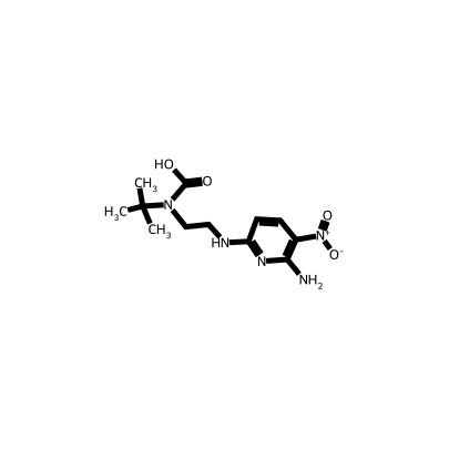 CC(C)(C)N(CCNc1ccc([N+](=O)[O-])c(N)n1)C(=O)O